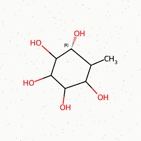 CC1C(O)C(O)C(O)C(O)[C@@H]1O